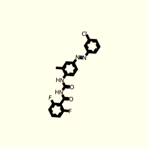 Cc1cc(/N=N/c2cccc(Cl)c2)ccc1NC(=O)NC(=O)c1c(F)cccc1F